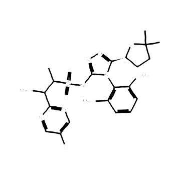 COc1cccc(OC)c1-n1c(NS(=O)(=O)C(C)C(OC)c2ncc(Cl)cn2)nnc1[C@@H]1CCC(C)(C)O1